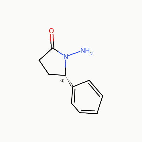 NN1C(=O)CC[C@H]1c1ccccc1